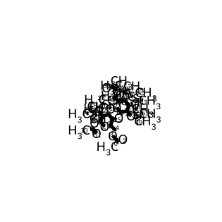 CC(=O)OCC1OC(OC(C)=O)C(O[Si](C)(C)C)C(O[Si](C)(C)C)[C@@H]1O[C@@H]1OC(COC(C)=O)[C@@H](O[Si](C)(C)C)C(O[Si](C)(C)C)C1O[Si](C)(C)C